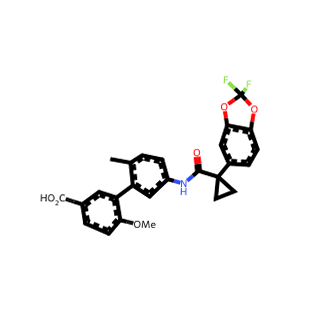 COc1ccc(C(=O)O)cc1-c1cc(NC(=O)C2(c3ccc4c(c3)OC(F)(F)O4)CC2)ccc1C